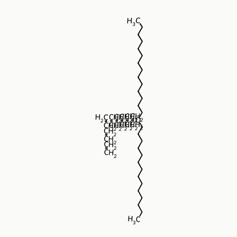 C=C.C=C.C=C.C=C.C=C.C=C.C=C.C=C.CCCCCCCCCCCCCCOCCCCCCCCCCCCCC